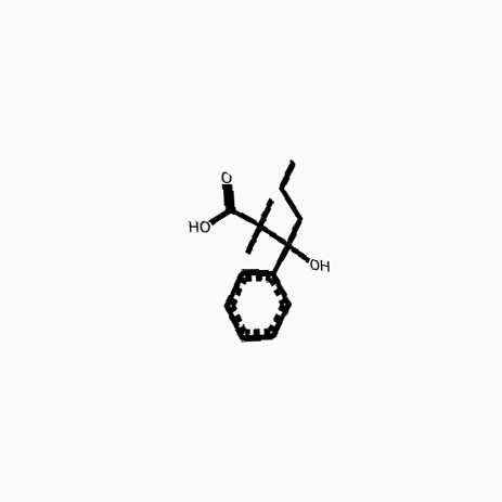 CCCC(O)(c1ccccc1)C(C)(C)C(=O)O